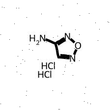 Cl.Cl.Nc1cnon1